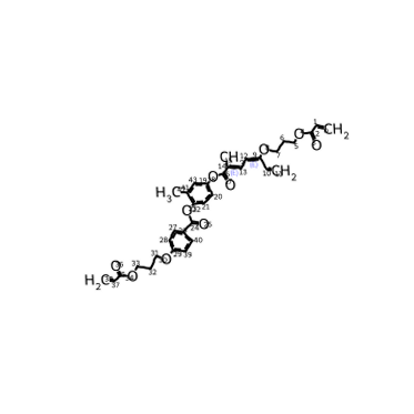 C=CC(=O)OCCCO/C(C=C)=C/C=C(\C)C(=O)Oc1ccc(OC(=O)c2ccc(OCCCOC(=O)C=C)cc2)c(C)c1